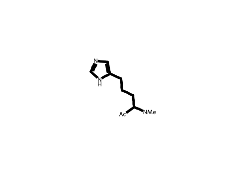 CNC(CCCc1cnc[nH]1)C(C)=O